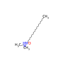 CCCCCCCCCCCCCCCCCCCC(=O)NCN(C)CCC